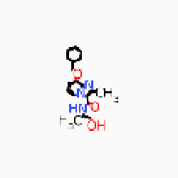 Cc1nc2c(OCC3CCCCC3)cccn2c1C(=O)NC(C)CO